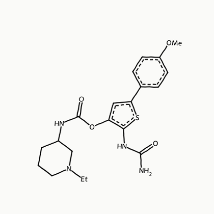 CCN1CCCC(NC(=O)Oc2cc(-c3ccc(OC)cc3)sc2NC(N)=O)C1